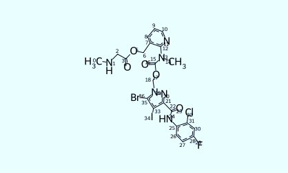 CNCC(=O)OCc1cccnc1N(C)C(=O)OCn1nc(C(=O)Nc2ccc(F)cc2Cl)c(I)c1Br